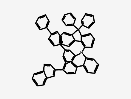 c1ccc(-c2ccc(-c3cccc(N(c4ccccc4-c4ccc(-c5ccc6ccccc6c5)cc4)c4cccc5c4-c4ccccc4C5(c4ccccc4)c4ccccc4)c3)cc2)cc1